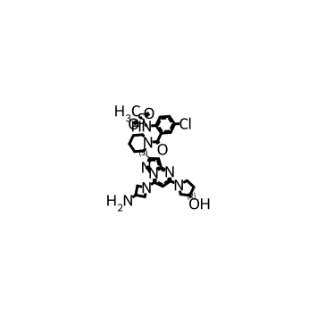 CS(=O)(=O)Nc1ccc(Cl)cc1C(=O)N1CCCC[C@H]1c1cc2nc(N3CC[C@@H](O)C3)cc(N3CC(N)C3)n2n1